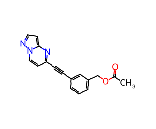 CC(=O)OCc1cccc(C#Cc2ccn3nccc3n2)c1